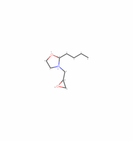 CCCCC1OCCN1CC1CO1